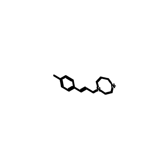 Cc1ccc(C=CCN2CCC[N]CC2)cc1